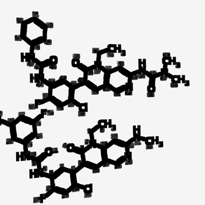 CCn1c(=O)c(-c2cc(NC(=O)Nc3cc(F)cc(Cl)c3)c(F)cc2Cl)cc2cnc(NC)cc21.CCn1c(=O)c(-c2cc(NC(=O)Nc3ccccc3)c(F)cc2Cl)cc2cnc(NC(=O)N(C)C)cc21